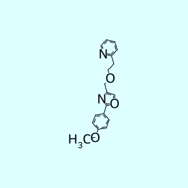 COc1ccc(-c2nc(COCCc3ccccn3)co2)cc1